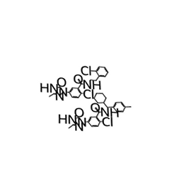 Cc1ccc(C(NC(=O)c2cc(-n3nc(C)[nH]c3=O)ccc2Cl)C2CCCCC2)cc1.Cc1nn(-c2ccc(Cl)c(C(=O)NCCc3ccccc3Cl)c2)c(=O)[nH]1